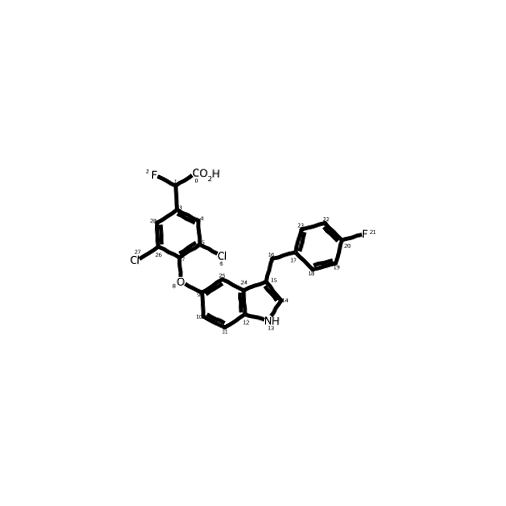 O=C(O)C(F)c1cc(Cl)c(Oc2ccc3[nH]cc(Cc4ccc(F)cc4)c3c2)c(Cl)c1